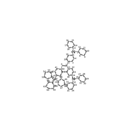 C(=C(c1ccc(N(c2ccccc2)c2ccccc2)cc1)c1ccc(N(c2ccccc2)c2ccccc2)cc1)c1ccc([Si](c2ccccc2)(c2ccccc2)c2ccccc2)cc1